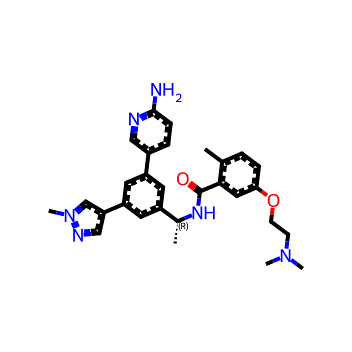 Cc1ccc(OCCN(C)C)cc1C(=O)N[C@H](C)c1cc(-c2ccc(N)nc2)cc(-c2cnn(C)c2)c1